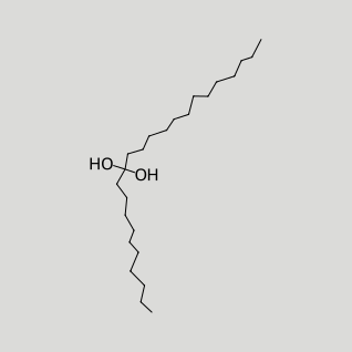 CCCCCCCCCCCCCC(O)(O)CCCCCCCCCC